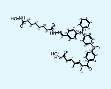 CC(/C=C/C(=O)NO)=C\[C@H](C)C(=O)c1ccc(N(C)c2ccc(N(c3ccccc3)c3ccc(/C=N/NC(=O)CCCCCCC(=O)NO)cc3)cc2)cc1